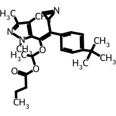 CCCC(=O)OC(C)O/C(=C(\c1ccc(C(C)(C)C)cc1)C1C=N1)c1c(C)c(C)nn1C